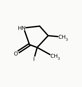 CC1CNC(=O)C1(C)I